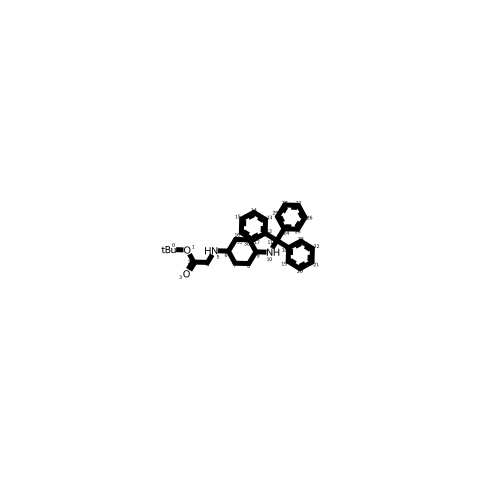 CC(C)(C)OC(=O)CNC1CCC(NC(c2ccccc2)(c2ccccc2)c2ccccc2)CC1